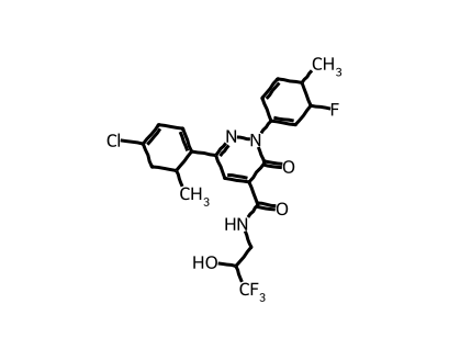 CC1CC(Cl)=CC=C1c1cc(C(=O)NCC(O)C(F)(F)F)c(=O)n(C2=CC(F)C(C)C=C2)n1